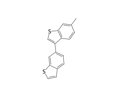 Cc1ccc2c(-c3ccc4ccsc4c3)csc2c1